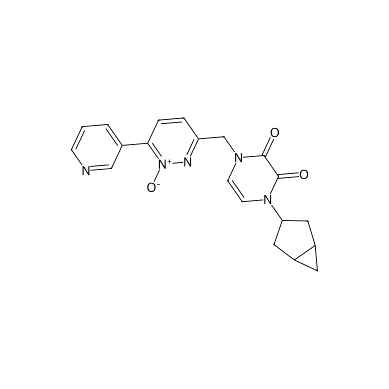 O=c1c(=O)n(C2CC3CC3C2)ccn1Cc1ccc(-c2cccnc2)[n+]([O-])n1